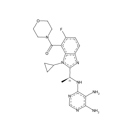 C[C@H](Nc1ncnc(N)c1N)c1nc2ccc(F)c(C(=O)N3CCOCC3)c2n1C1CC1